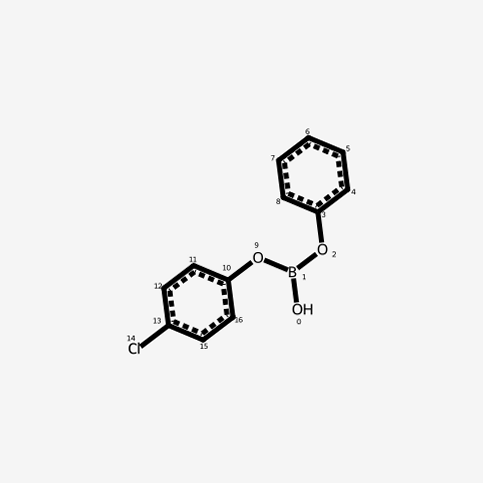 OB(Oc1ccccc1)Oc1ccc(Cl)cc1